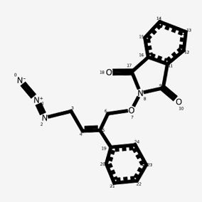 [N-]=[N+]=NC/C=C(\CON1C(=O)c2ccccc2C1=O)c1ccccc1